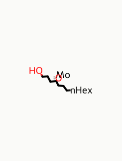 CCCCCCCCCCCCCO.[Mo].[O]